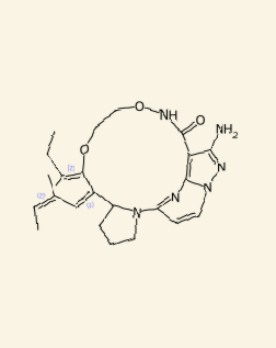 C\C=C(C)/C=C1\C(=C(/C)CC)OCCONC(=O)c2c(N)nn3ccc(nc23)N2CCCC12